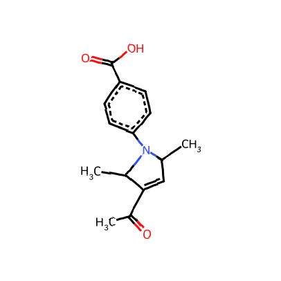 CC(=O)C1=CC(C)N(c2ccc(C(=O)O)cc2)C1C